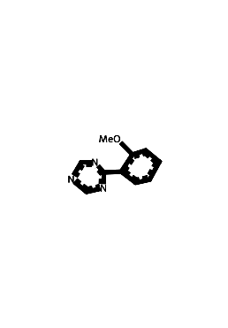 COc1ccccc1-c1ncncn1